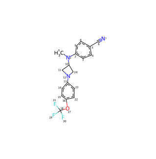 CN(c1ccc(C#N)cc1)C1CN(c2ccc(OC(F)(F)F)cc2)C1